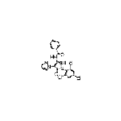 O=C(Nc1[nH]n(-c2c(Cl)cc(Cl)cc2Cl)c(=O)c1-n1cccn1)c1ccccc1